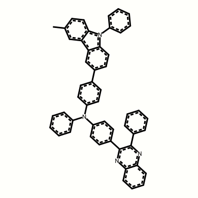 Cc1ccc2c(c1)c1cc(-c3ccc(N(c4ccccc4)c4ccc(-c5nc6ccccc6nc5-c5ccccc5)cc4)cc3)ccc1n2-c1ccccc1